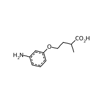 CC(CCOc1cccc(N)c1)C(=O)O